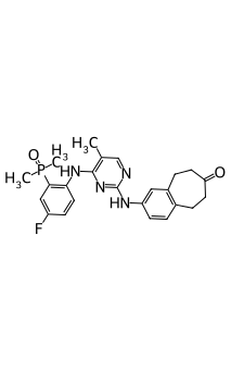 Cc1cnc(Nc2ccc3c(c2)CCC(=O)CC3)nc1Nc1ccc(F)cc1P(C)(C)=O